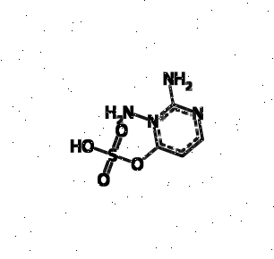 Nc1nccc(OS(=O)(=O)O)[n+]1N